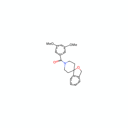 COc1cc(OC)cc(C(=O)N2CCC3(CC2)OCc2ccccc23)c1